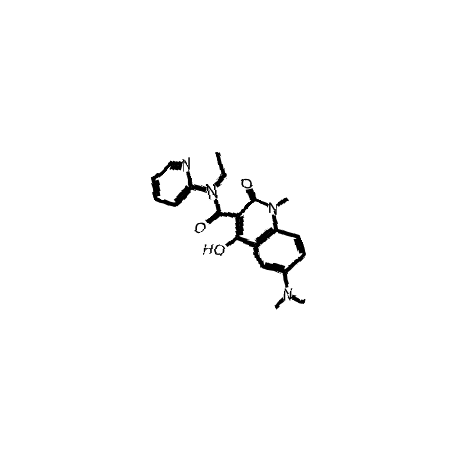 CCN(C(=O)c1c(O)c2cc(N(C)C)ccc2n(C)c1=O)c1ccccn1